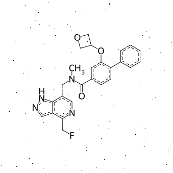 CN(Cc1cnc(CF)c2cn[nH]c12)C(=O)c1ccc(-c2ccccc2)c(OC2COC2)c1